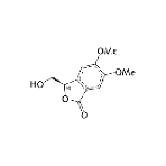 COc1cc2c(cc1OC)[C@H](CO)OC2=O